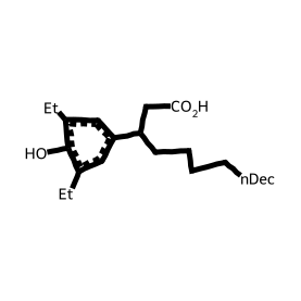 CCCCCCCCCCCCCCC(CC(=O)O)c1cc(CC)c(O)c(CC)c1